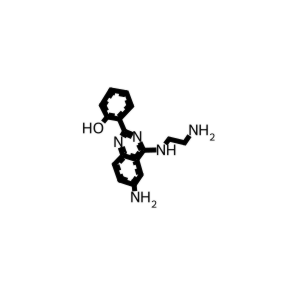 NCCNc1nc(-c2ccccc2O)nc2ccc(N)cc12